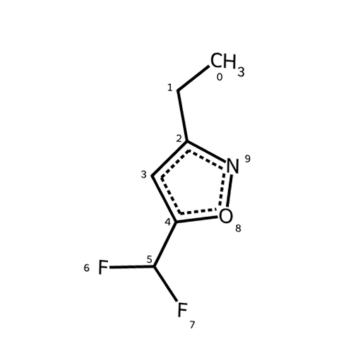 CCc1cc(C(F)F)on1